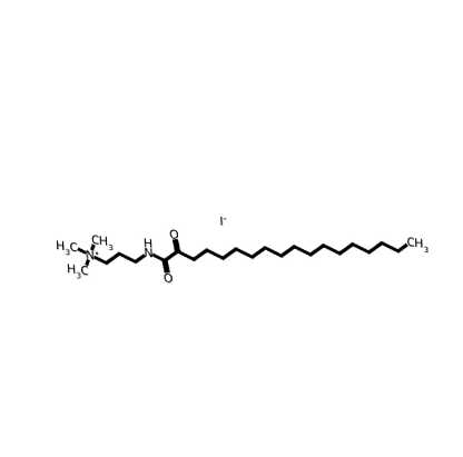 CCCCCCCCCCCCCCCCC(=O)C(=O)NCCC[N+](C)(C)C.[I-]